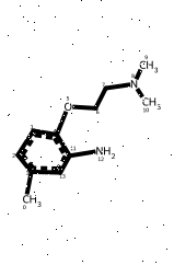 Cc1ccc(OCCN(C)C)c(N)c1